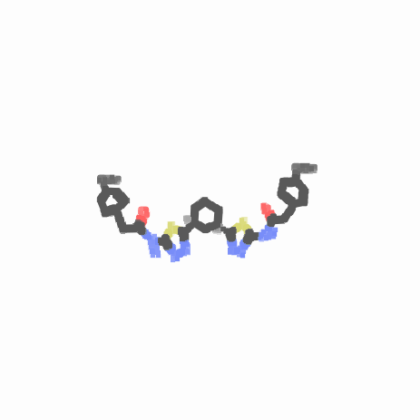 COc1ccc(CC(=O)Nc2nnc([C@H]3CCC[C@H](c4nnc(NC(=O)Cc5ccc(OC)cc5)s4)C3)s2)cc1